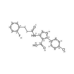 O=C(CCc1ccccc1F)Nc1csc(-c2ccc(Cl)cc2)c1C(=O)O